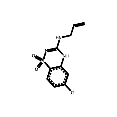 C=CCNC1=NS(=O)(=O)c2ccc(Cl)cc2N1